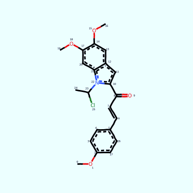 COc1ccc(/C=C/C(=O)c2cc3cc(OC)c(OC)cc3n2C(C)Cl)cc1